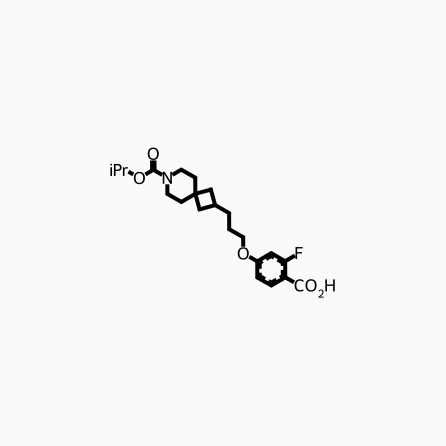 CC(C)OC(=O)N1CCC2(CC1)CC(CCCOc1ccc(C(=O)O)c(F)c1)C2